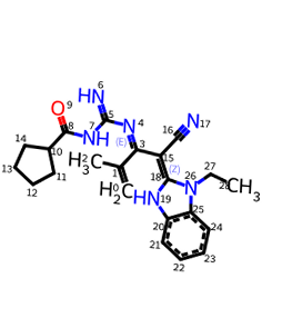 C=C(C)C(=N\C(=N)NC(=O)C1CCCC1)/C(C#N)=C1\Nc2ccccc2N1CC